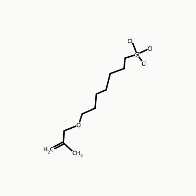 C=C(C)COCCCCCCC[Si](Cl)(Cl)Cl